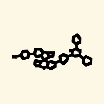 N#Cc1ccc(-c2ccc3c(c2)C2(c4ccccc4Sc4ccc(-c5ccc(C6C=C(C7=CC=CCC7)N=C(c7ccccc7)N6)cc5)cc42)c2ccccc2-3)cc1